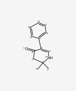 CC1(C)CC(=O)C(c2ccccc2)=CN1